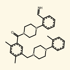 Cc1cc(C)c(C(=O)N2CCN(c3ccccc3C=N)CC2)cc1CN1CCN(c2ccccc2C)CC1